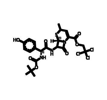 CC1C=C(C(=O)OCC(Cl)(Cl)Cl)N2C(=O)C(NC(=O)[C@H](NC(=O)OC(C)(C)C)c3ccc(O)cc3)[C@@H]2S1